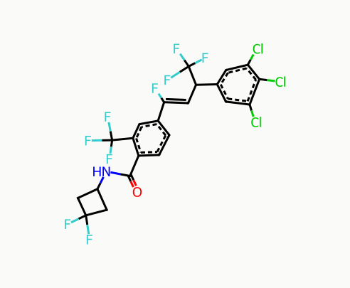 O=C(NC1CC(F)(F)C1)c1ccc(C(F)=CC(c2cc(Cl)c(Cl)c(Cl)c2)C(F)(F)F)cc1C(F)(F)F